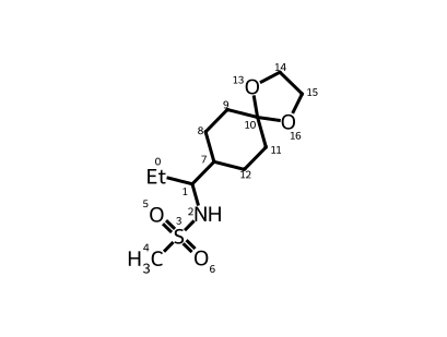 CCC(NS(C)(=O)=O)C1CCC2(CC1)OCCO2